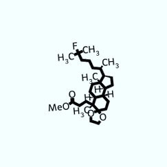 COC(=O)CC[C@]1(C)[C@H]2CC[C@]3(C)[C@@H]([C@H](C)CCCC(C)(C)F)CC[C@H]3[C@@H]2CCC12OCCO2